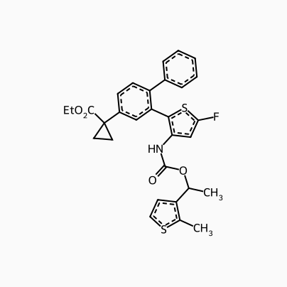 CCOC(=O)C1(c2ccc(-c3ccccc3)c(-c3sc(F)cc3NC(=O)OC(C)c3ccsc3C)c2)CC1